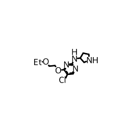 CCOCCOc1nc(NC2CCNC2)ncc1Cl